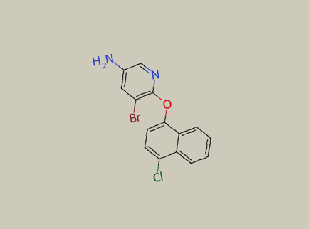 Nc1cnc(Oc2ccc(Cl)c3ccccc23)c(Br)c1